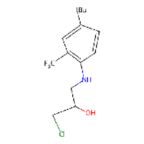 CC(C)(C)c1ccc(NCC(O)CCl)c(C(F)(F)F)c1